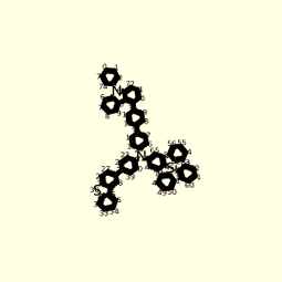 c1ccc(-n2c3ccccc3c3c(-c4ccc(-c5ccc(N(c6ccc(-c7ccc8sc9ccccc9c8c7)cc6)c6ccc([Si](c7ccccc7)(c7ccccc7)c7ccccc7)cc6)cc5)cc4)cccc32)cc1